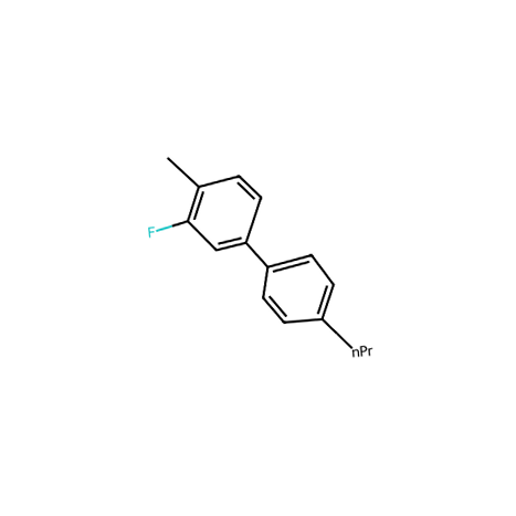 CCCc1ccc(-c2ccc(C)c(F)c2)cc1